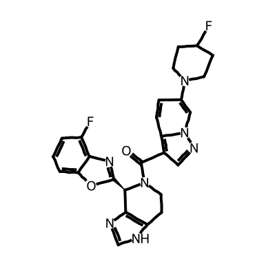 O=C(c1cnn2cc(N3CCC(F)CC3)ccc12)N1CCc2[nH]cnc2[C@H]1c1nc2c(F)cccc2o1